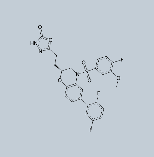 COc1cc(S(=O)(=O)N2C[C@H](CCc3n[nH]c(=O)o3)Oc3ccc(-c4cc(F)ccc4F)cc32)ccc1F